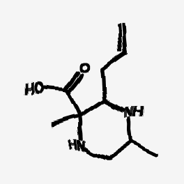 C=CCC1NC(C)CNC1(C)C(=O)O